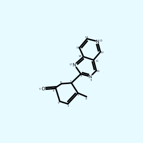 CC1=CCC(=O)CC1c1ncc2cnccc2n1